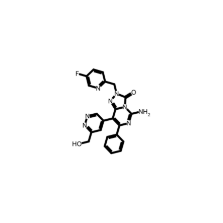 Nc1nc(-c2ccccc2)c(-c2cnnc(CO)c2)c2nn(Cc3ccc(F)cn3)c(=O)n12